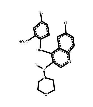 CCc1ccc(Nc2c([S+]([O-])N3CCOCC3)cnc3ccc(Cl)cc23)c(C(=O)O)c1